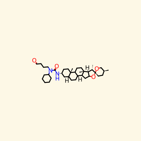 C[C@H]1CC[C@@]2(OC1)OC1CC3[C@@H]4CC[C@@H]5C[C@H](NC(=O)N(CCCC=O)C6CCCCC6)CC[C@]5(C)C4CC[C@]3(C)[C@H]1[C@@H]2C